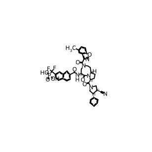 Cc1ccc2onc(C(=O)N3CC[C@H]4CC[C@@H](C(=O)N5C[C@@H](C#N)[C@H](c6ccccc6)C5)N4C(=O)[C@@H](NC(=O)c4ccc5ccc(C(F)(F)P(=O)(O)O)cc5c4)C3)c2c1